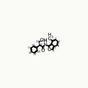 Cc1cccc2coc(NC(=O)[C@H](CO)c3ccccc3)c12